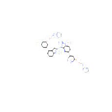 Fc1cc(OCCN2CCCC2)cc(-c2cccc3[nH]c(-c4n[nH]c5ccc(-c6cncc(OCCN7CCCC7)c6)cc45)cc23)c1